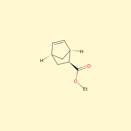 CCOC(=O)[C@H]1C[C@H]2C=C[C@@H]1C2